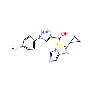 OC(c1cn(-c2ccc(C(F)(F)F)cc2)nn1)[SH]1C(C2CC2)=Nc2cncn21